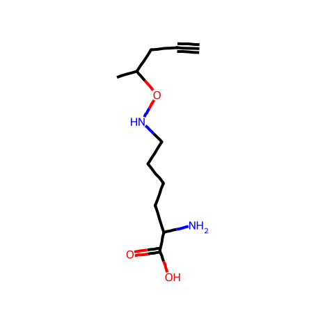 C#CCC(C)ONCCCCC(N)C(=O)O